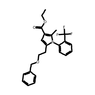 CCOC(=O)c1cc(CCOCc2ccccc2)n(-c2ccccc2C(F)(F)F)c1C